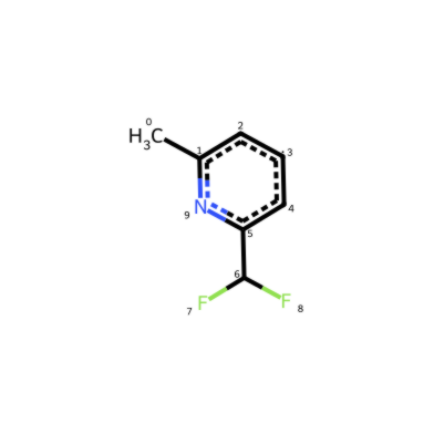 Cc1c[c]cc(C(F)F)n1